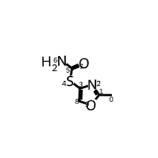 Cc1nc(SC(N)=O)co1